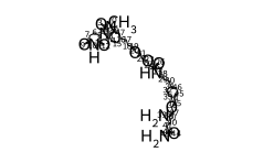 Cn1c(=O)n(C2CCC(=O)NC2=O)c2ccc(CCCOCCOCC(=O)NCCCc3ccc(COC[C@@H](N)CCC(N)=O)cc3)cc21